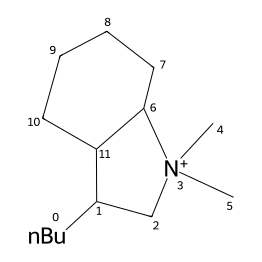 CCCCC1C[N+](C)(C)C2CCCCC12